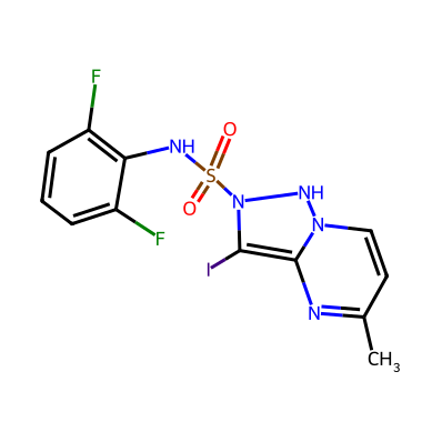 CC1=NC2=C(I)N(S(=O)(=O)Nc3c(F)cccc3F)NN2C=C1